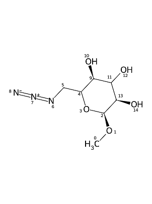 CO[C@H]1OC(CN=[N+]=[N-])[C@@H](O)C(O)[C@H]1O